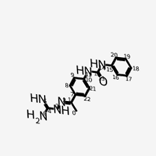 C/C(=N\NC(=N)N)c1ccc(NC(=O)Nc2ccccc2)cc1